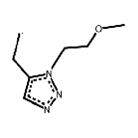 [CH2]Cc1cnnn1CCOC